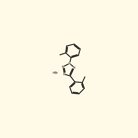 Br.Cc1ccccc1-c1nnn(-c2ccccc2C)n1